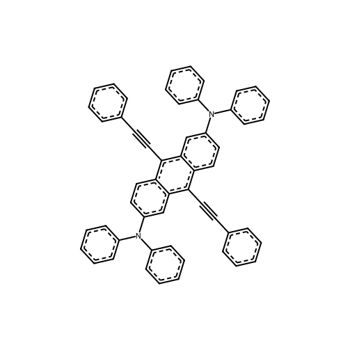 C(#Cc1c2ccc(N(c3ccccc3)c3ccccc3)cc2c(C#Cc2ccccc2)c2ccc(N(c3ccccc3)c3ccccc3)cc12)c1ccccc1